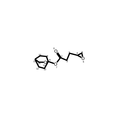 O=C(CCC1CO1)OC12CCC(CC1)CO2